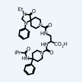 CCN1CN(c2ccccc2)C2(CCN(C(=O)NCC(NC(=O)N3CCC(NC(=O)C(C)C)(c4ccccc4)CC3)C(=O)O)CC2)C1=O